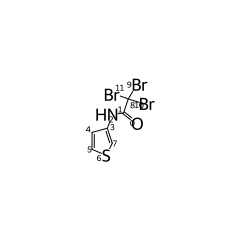 O=C(Nc1ccsc1)C(Br)(Br)Br